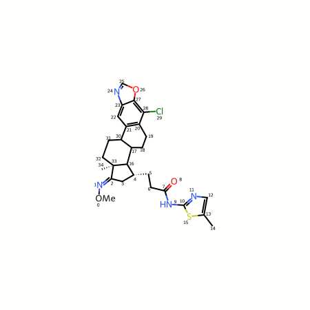 CON=C1C[C@@H](CCC(=O)Nc2ncc(C)s2)C2C3CCc4c(cc5ncoc5c4Cl)C3CC[C@]12C